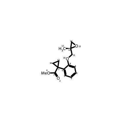 COC(=O)C1(c2ccccc2OC[C@]2(C)CO2)CC1